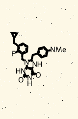 CNc1ccc(CC2Nc3c([nH]c(=O)[nH]c3=O)N2Cc2cccc(CC3CC3)c2F)cc1